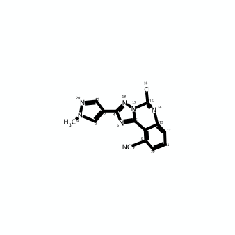 Cn1cc(-c2nc3c4c(C#N)cccc4nc(Cl)n3n2)cn1